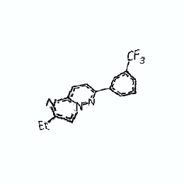 CCc1cn2nc(-c3cccc(C(F)(F)F)c3)ccc2n1